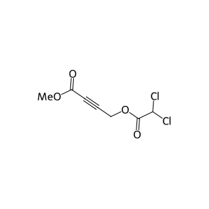 COC(=O)C#CCOC(=O)C(Cl)Cl